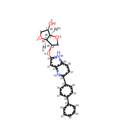 O[C@@H]1CO[C@H]2[C@@H]1OC[C@H]2Oc1cc2nc(-c3ccc(-c4ccccc4)cc3)ccc2[nH]1